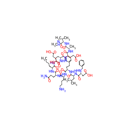 CCCC[C@H](NC(=O)[C@H](CCC(N)=O)NC(=O)[C@H](CCCCN)NC(=O)[C@@H](CCc1ccccc1)NC(=O)[C@H](CC(C)C)NC(=O)[C@H](CC(=O)O)NCc1ccccc1)C(=O)N[C@@H](CCC(=O)O)C(=O)N[C@@H](CCC(=O)O)C(=O)N[C@@H](CCC(=O)O)C(=O)N[C@@H](C)C(=O)N[C@H](C(=O)NC)C(C)C